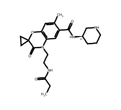 CCC(=O)NCCN1C(=O)C2(CC2)Oc2cc(C)c(C(=O)N[C@@H]3CCCNC3)cc21